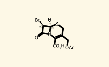 CC(=O)OCC1=C(C(=O)O)N2C(=O)[C@@H](Br)[C@H]2SC1